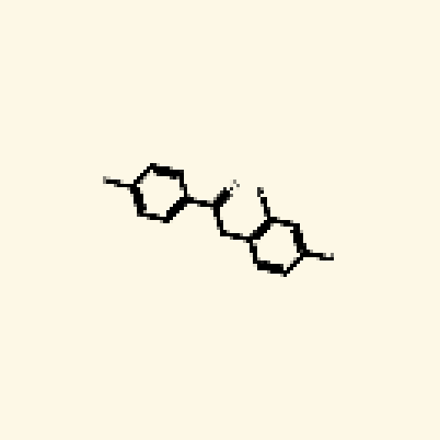 O=C(Cc1ccc(F)cc1F)c1ccc(I)cc1